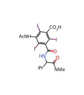 CNC(=O)C(NC(=O)c1c(I)c(NC(C)=O)c(I)c(C(=O)O)c1I)C(C)C